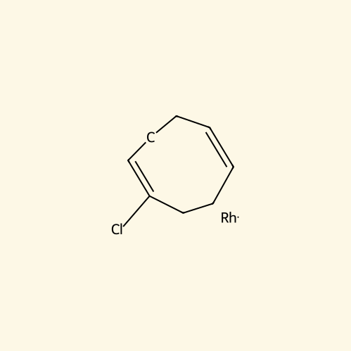 ClC1=CCCC=CCC1.[Rh]